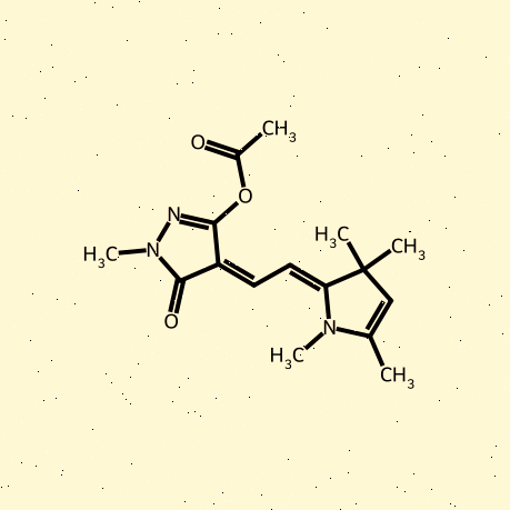 CC(=O)OC1=NN(C)C(=O)/C1=C/C=C1\N(C)C(C)=CC1(C)C